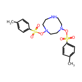 Cc1ccc(S(=O)(=O)ON2CCNCCN(OS(=O)(=O)c3ccc(C)cc3)CC2)cc1